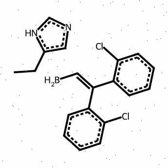 BC=C(c1ccccc1Cl)c1ccccc1Cl.CCc1cnc[nH]1